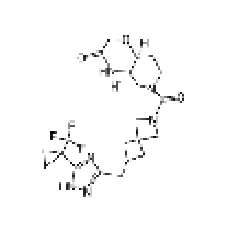 O=C1CO[C@H]2CCN(C(=O)N3CC4(CC(Cc5n[nH]c(C6(C(F)(F)F)CC6)n5)C4)C3)C[C@H]2N1